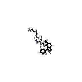 COCCN(C)CCN/C=C\C(=N)Nc1ncc2c(n1)-c1c(nn(C)c1-c1ccccc1)CC2